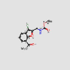 COC(=O)c1cccc2c(Cl)c(CNC(=O)OC(C)(C)C)oc12